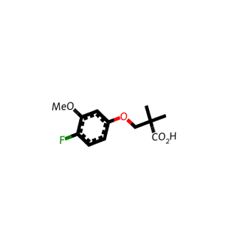 COc1cc(OCC(C)(C)C(=O)O)ccc1F